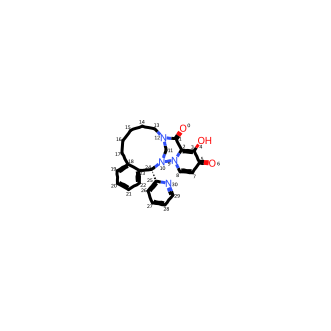 O=C1c2c(O)c(=O)ccn2N2CN1CCCCCc1ccccc1[C@H]2c1ccccn1